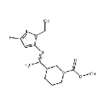 C/C(=N\c1cc(F)nn1CO)C1CCCN(C(=O)OC(C)(C)C)C1